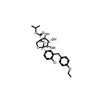 CCOc1ccc(Cc2cc([C@]34OC[C@](C(=O)OC(C)C)(O3)[C@@H](O)[C@H](O)[C@H]4O)ccc2Cl)cc1